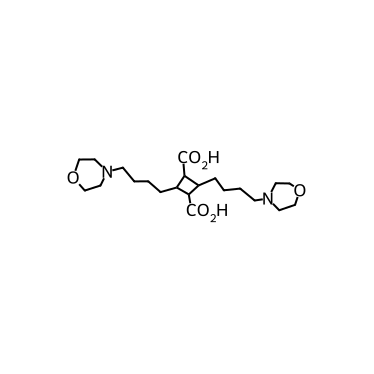 O=C(O)C1C(CCCCN2CCOCC2)C(C(=O)O)C1CCCCN1CCOCC1